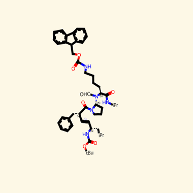 CC(C)C[C@@H](/C=C/[C@H](Cc1ccccc1)C(=O)N1CCC[C@H]1N(C=O)[C@@H](CCCCNC(=O)OCC1c2ccccc2-c2ccccc21)C(=O)NC(C)C)NC(=O)OC(C)(C)C